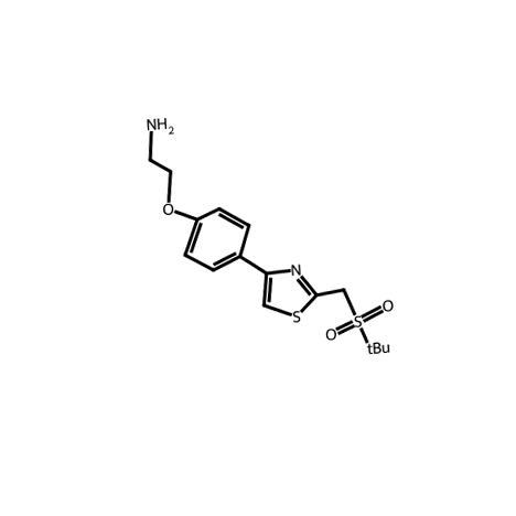 CC(C)(C)S(=O)(=O)Cc1nc(-c2ccc(OCCN)cc2)cs1